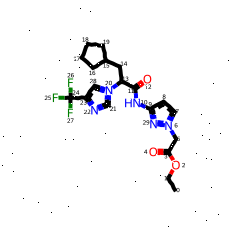 CCOC(=O)Cn1ccc(NC(=O)C(CC2CCCC2)n2cnc(C(F)(F)F)c2)n1